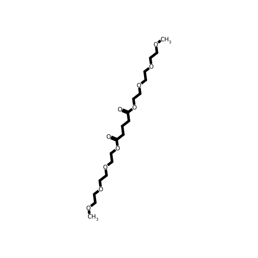 COCCOCCOCCOC(=O)CCCC(=O)OCCOCCOCCOC